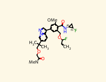 C=CC(F)OCc1cc(-c2cnn3cc(C(C)(C)COCC(=O)NC)ccc23)cc(OC)c1C(=O)N[C@@H]1C[C@@H]1F